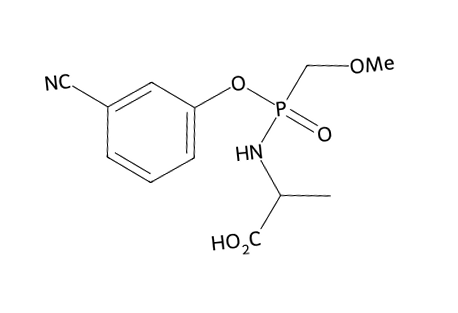 COCP(=O)(NC(C)C(=O)O)Oc1cccc(C#N)c1